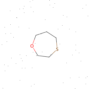 [CH]1CSCCCO1